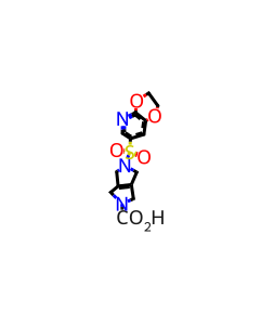 O=C(O)N1CC2=C(C1)CN(S(=O)(=O)c1cnc3c(c1)OCCO3)C2